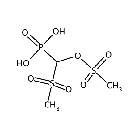 CS(=O)(=O)OC(P(=O)(O)O)S(C)(=O)=O